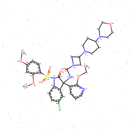 CCOc1ncccc1C1(NC(=O)N2CC(N3CCC(N4CCOCC4)CC3)C2)C(=O)N(S(=O)(=O)c2ccc(OC)cc2OC)c2ccc(Cl)cc21